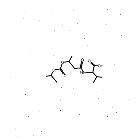 CC(C)OC(=O)OC(C)CC(=O)NC(C(=O)O)C(C)C